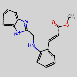 COC(=O)/C=C/c1ccccc1NCc1nc2ccccc2[nH]1